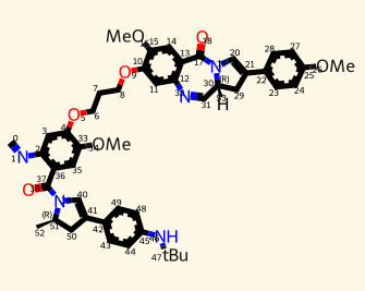 C=Nc1cc(OCCCOc2cc3c(cc2OC)C(=O)N2C=C(c4ccc(OC)cc4)C[C@@H]2C=N3)c(OC)cc1C(=O)N1C=C(c2ccc(NC(C)(C)C)cc2)C[C@H]1C